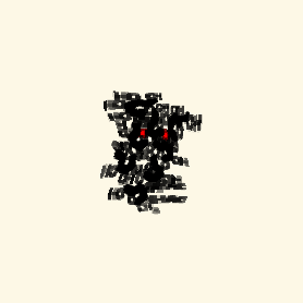 CC(=O)NC1C(O)[C@H](O)C(CO)O[C@H]1OC1[C@@H](OCC2O[C@@H](O[C@@H]3C(CO)O[C@@H](O[C@@H]4C(CO)O[C@@H](C)C(NC(C)=O)[C@H]4O)C(NC(C)=O)[C@H]3O)C(O)[C@@H](O[C@H]3O[C@H](CO)[C@@H](O)C(O)C3O[C@@H]3OC(CO)[C@@H](O[C@@H]4OC(CO)[C@H](O)[C@H](O)C4O)[C@H](O)C3NC(C)=O)[C@@H]2O)OC(CO)[C@@H](O)[C@@H]1O